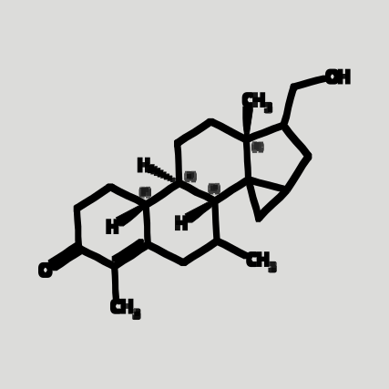 CC1=C2CC(C)[C@@H]3[C@H](CC[C@]4(C)C(CO)CC5CC534)[C@H]2CCC1=O